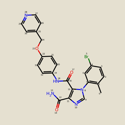 Cc1ccc(Br)cc1-n1cnc(C(N)=O)c1C(=O)Nc1ccc(OCc2ccncc2)cc1